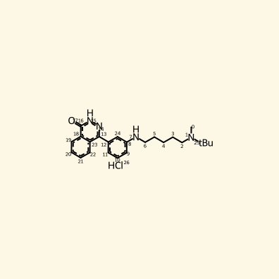 CN(CCCCCNc1cccc(-c2n[nH]c(=O)c3ccccc23)c1)C(C)(C)C.Cl